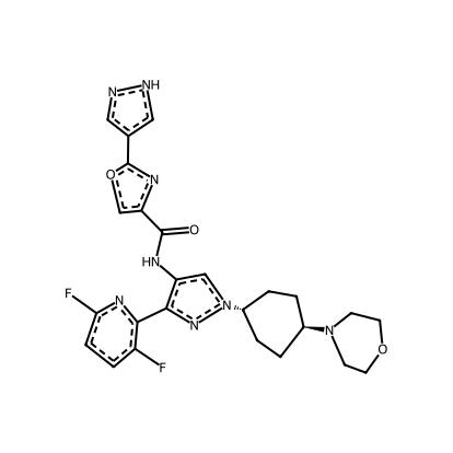 O=C(Nc1cn([C@H]2CC[C@H](N3CCOCC3)CC2)nc1-c1nc(F)ccc1F)c1coc(-c2cn[nH]c2)n1